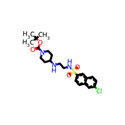 CC(C)(C)OC(=O)N1CCC(NCCNS(=O)(=O)c2ccc3cc(Cl)ccc3c2)CC1